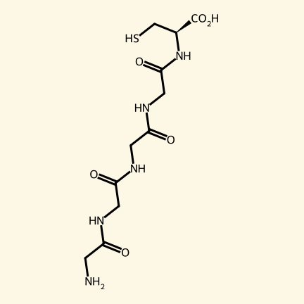 NCC(=O)NCC(=O)NCC(=O)NCC(=O)N[C@@H](CS)C(=O)O